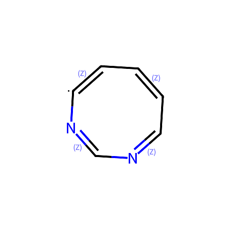 [C]1=C\C=C/C=N\C=N/1